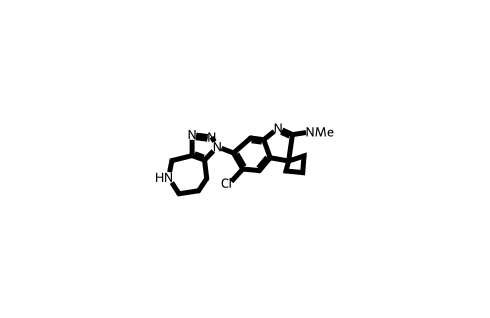 CNC1=Nc2cc(-n3nnc4c3CCCNC4)c(Cl)cc2C12CCC2